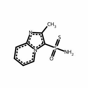 Cc1nc2ccccn2c1S(N)(=O)=S